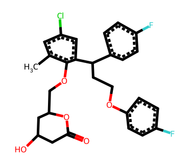 Cc1cc(Cl)cc(C(CCOc2ccc(F)cc2)c2ccc(F)cc2)c1OCC1CC(O)CC(=O)O1